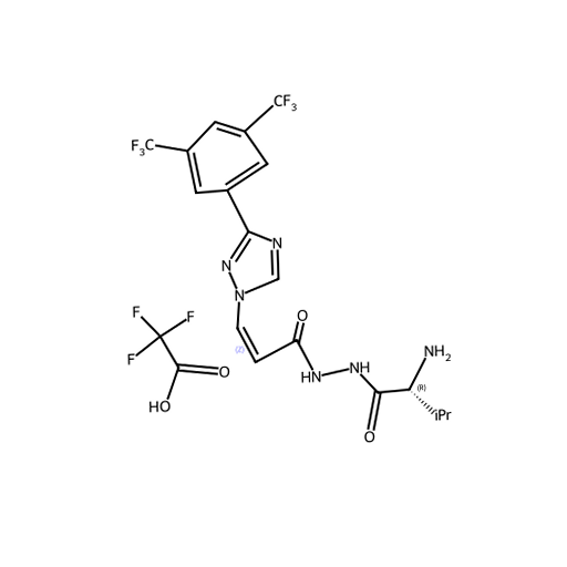 CC(C)[C@@H](N)C(=O)NNC(=O)/C=C\n1cnc(-c2cc(C(F)(F)F)cc(C(F)(F)F)c2)n1.O=C(O)C(F)(F)F